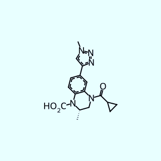 C[C@H]1CN(C(=O)C2CC2)c2cc(-c3cn(C)nn3)ccc2N1C(=O)O